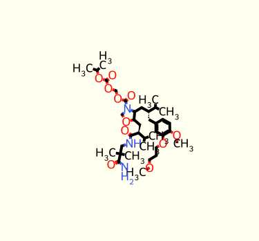 COCCCOc1cc(C[C@H](CC2C(C[C@H](C(=O)NCC(C)(C)C(N)=O)C(C)C)OCN2C(=O)OCOC(=O)OC(C)C)C(C)C)ccc1OC